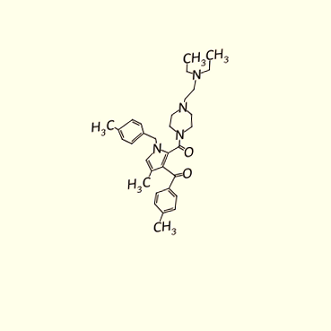 CCN(CC)CCN1CCN(C(=O)c2c(C(=O)c3ccc(C)cc3)c(C)cn2Cc2ccc(C)cc2)CC1